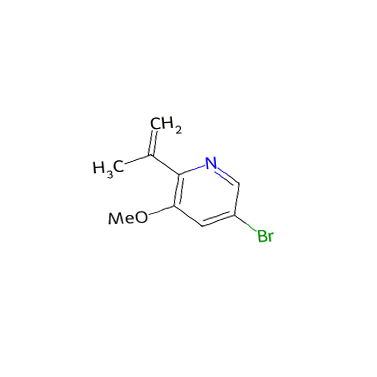 C=C(C)c1ncc(Br)cc1OC